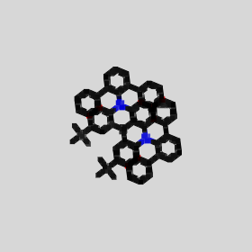 CC(C)(C)c1cc2c3c(c1)N(c1c(-c4ccccc4)cccc1-c1ccccc1)c1ccc([Si](C)(C)C)cc1B3c1cc([Si](C)(C)C)ccc1N2c1c(-c2ccccc2)cccc1-c1ccccc1